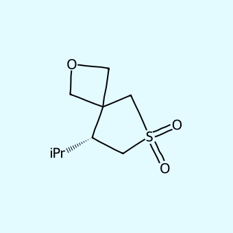 CC(C)[C@H]1CS(=O)(=O)CC12COC2